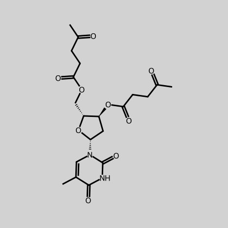 CC(=O)CCC(=O)OC[C@H]1O[C@@H](n2cc(C)c(=O)[nH]c2=O)C[C@@H]1OC(=O)CCC(C)=O